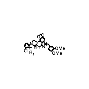 CCCc1nn(Cc2ccc(OC)c(OC)c2)c2cc3c(c(N4CCN(c5cccc(Cl)c5C)CC4)c12)OCO3